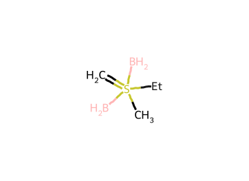 BS(B)(=C)(C)CC